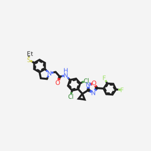 CCSc1ccc2c(c1)CCN2CC(=O)Nc1cc(Cl)c(C2(c3noc(-c4ccc(F)cc4F)n3)CC2)c(Cl)c1